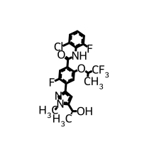 CC(Oc1cc(-c2cc([C@H](C)O)n(C)n2)c(F)cc1C(=O)Nc1c(F)cccc1Cl)C(F)(F)F